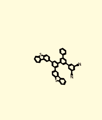 N#Cc1cc(C#N)cc(-c2cc(-c3ccccc3)cc(-c3cc(-c4ccc5sc6ccccc6c5c4)cc(-c4ccc5sc6ccccc6c5c4)c3)c2)c1